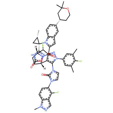 Cc1cc(-n2nc3c(c2-n2ccn(-c4ccc5c(cnn5C)c4F)c2=O)[C@@H]2CC[C@H]([C@H]3F)N2C(=O)c2cc3cc([C@H]4CCOC(C)(C)C4)ccc3n2[C@@]2(c3noc(=O)[nH]3)C[C@@H]2C)cc(C)c1F